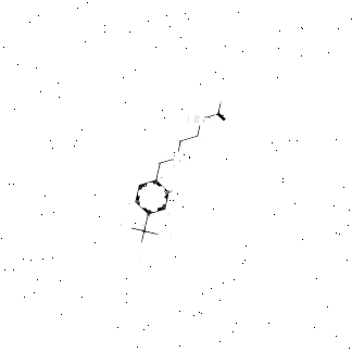 O=C(O)NCCNCc1ccc(C(F)(F)F)cc1